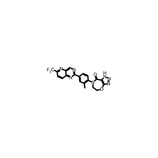 Cc1cc(-c2ncc3nc(C(F)(F)F)ccc3n2)ccc1N1CCOc2nn[nH]c2C1=O